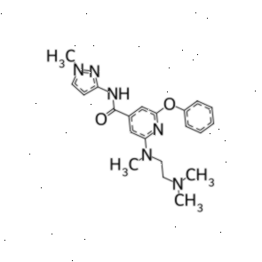 CN(C)CCN(C)c1cc(C(=O)Nc2ccn(C)n2)cc(Oc2ccccc2)n1